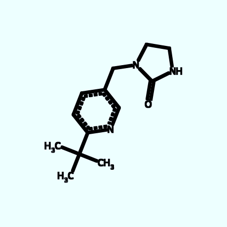 CC(C)(C)c1ccc(CN2CCNC2=O)cn1